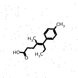 CC/C(=C(/C)CCC(=O)O)c1ccc(C)cc1